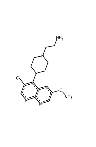 COc1cnc2ncc(Cl)c(N3CCN(CCN)CC3)c2c1